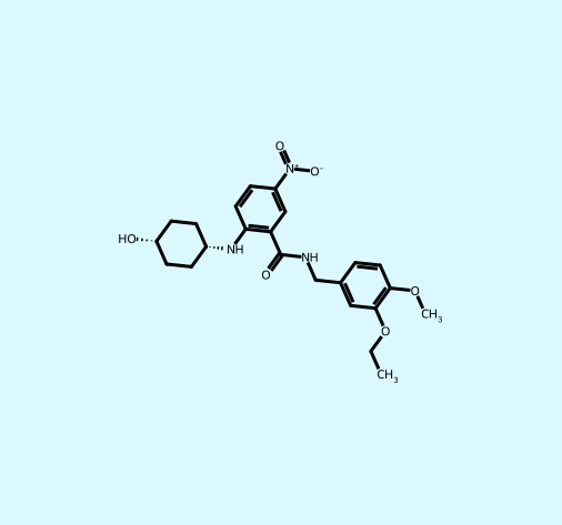 CCOc1cc(CNC(=O)c2cc([N+](=O)[O-])ccc2N[C@H]2CC[C@@H](O)CC2)ccc1OC